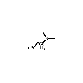 CCC[CH2][GeH2][N](C)C